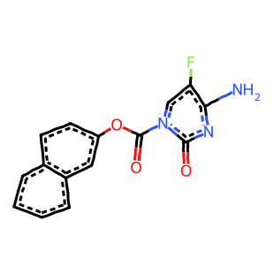 Nc1nc(=O)n(C(=O)Oc2ccc3ccccc3c2)cc1F